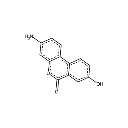 Nc1ccc2c(c1)oc(=O)c1cc(O)ccc12